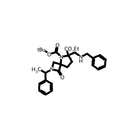 CCOC(=O)C1(CNCc2ccccc2)CCC2(CN(C(C)c3ccccc3)C2=O)N1C(=O)OC(C)(C)C